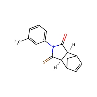 O=C1[C@H]2C3C=CC(C3)[C@H]2C(=S)N1c1cccc(C(F)(F)F)c1